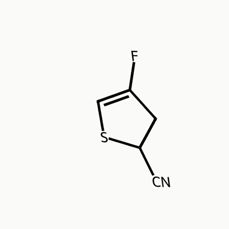 N#CC1CC(F)=CS1